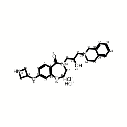 Cl.Cl.O=C1c2ccc(OC3CNC3)cc2OCCN1CC(O)CN1CCc2ccccc2C1